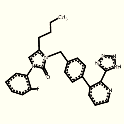 CCCCc1cn(-c2ccccc2F)c(=O)n1Cc1ccc(-c2cccnc2-c2nnn[nH]2)cc1